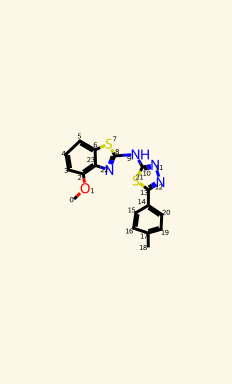 COc1cccc2sc(Nc3nnc(-c4ccc(C)cc4)s3)nc12